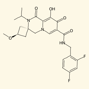 CO[C@H]1C[C@]2(Cn3cc(C(=O)NCc4ccc(F)cc4F)c(=O)c(O)c3C(=O)N2C(C)C)C1